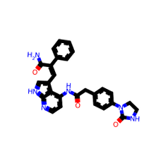 NC(=O)C(=Cc1c[nH]c2nccc(NC(=O)Cc3ccc(N4CCNC4=O)cc3)c12)c1ccccc1